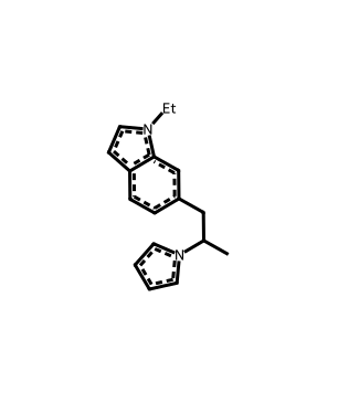 CCn1ccc2ccc(CC(C)n3cccc3)cc21